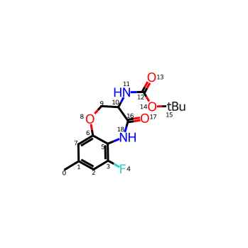 Cc1cc(F)c2c(c1)OCC(NC(=O)OC(C)(C)C)C(=O)N2